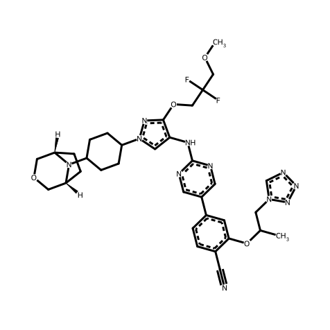 COCC(F)(F)COc1nn(C2CCC(N3[C@@H]4CC[C@H]3COC4)CC2)cc1Nc1ncc(-c2ccc(C#N)c(OC(C)Cn3cnnn3)c2)cn1